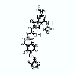 CCN(C)c1nc(NC2COC2)cc(C(=O)NCC(O)CN2CCc3c(ccc(OCc4ocnc4C)c3C)C2)n1